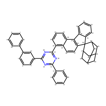 c1ccc(-c2cccc(-c3nc(-c4ccccc4)nc(-c4cccc5c6c(ccc45)C4(c5ccccc5-6)C5CC6CC(C5)CC4C6)n3)c2)cc1